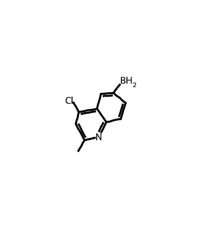 Bc1ccc2nc(C)cc(Cl)c2c1